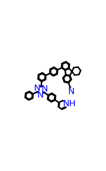 N#Cc1ccc2c(c1)C1(CCCCC1)c1cccc(-c3ccc(-c4cccc(-c5nc(-c6ccccc6)nc(-c6ccc(C7=CC=CNC7)cc6)n5)c4)cc3)c1-2